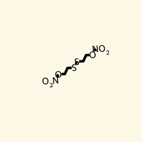 O=[N+]([O-])OCCSSCCO[N+](=O)[O-]